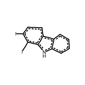 Ic1ccc2c([nH]c3ccccc32)c1I